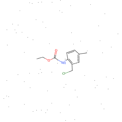 CCOC(=O)Nc1ccc(C)cc1CCl